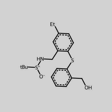 CCc1ccc(Sc2ccccc2CO)c(CN[S+]([O-])C(C)(C)C)c1